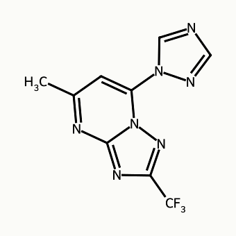 Cc1cc(-n2cncn2)n2nc(C(F)(F)F)nc2n1